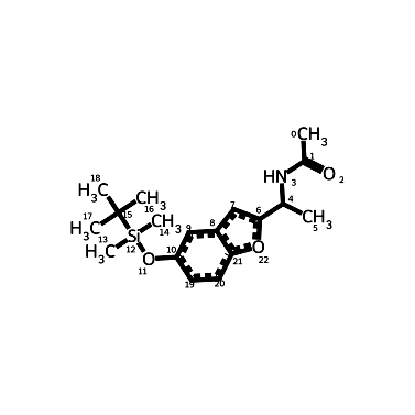 CC(=O)NC(C)c1cc2cc(O[Si](C)(C)C(C)(C)C)ccc2o1